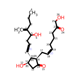 C=C(CCC)C(O)C/C=C/[C@H]1[C@H](O)CC(=O)[C@@H]1C/C=C\CCCC(=O)CO